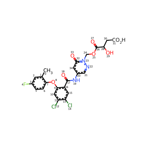 Cc1cc(F)ccc1Oc1cc(Cl)c(Cl)cc1C(=O)Nc1cnn(COC(=O)C(O)CC(=O)O)c(=O)c1